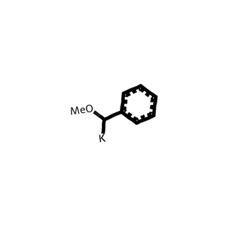 CO[CH]([K])c1ccccc1